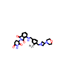 Cc1cc(CNc2cccc3c2C(=O)N(C2CCC(=O)NC2=O)C3=O)ccc1CN1CC(N2CCOCC2)C1